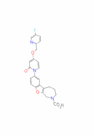 O=C(O)N1CCCc2c(oc3ccc(-n4ccc(OCc5ccc(F)cn5)cc4=O)cc23)C1